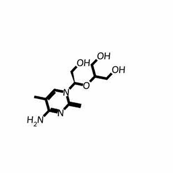 C=C1N=C(N)C(C)=CN1[C@@H](CO)OC(CO)CO